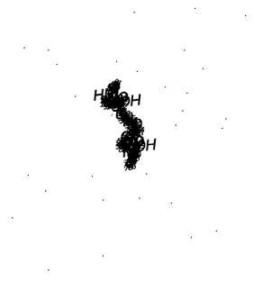 O=C(Nc1nc2ccccc2s1)c1cccc2c1CN(c1nc(C(=O)O)c(CCCOc3ccc(N4CCN(C(=O)Cc5cccc6nc(NC(=O)c7cccc8c7CN(c7nc(C(=O)O)c(CN9CCN(c%10ccccc%10)CC9)s7)CC8)sc56)CC4)cc3)s1)CC2